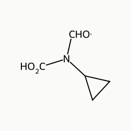 O=[C]N(C(=O)O)C1CC1